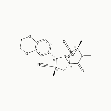 CN1C(=O)[C@@]23C[C@](C)(C#N)[C@H](c4ccc5c(c4)OCCO5)N2C(=O)[C@]1(C)SS3